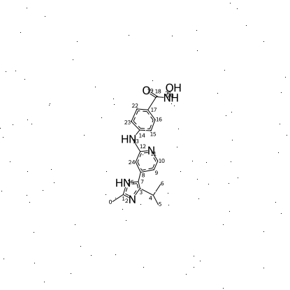 Cc1nc(C(C)C)c(-c2ccnc(Nc3ccc(C(=O)NO)cc3)c2)[nH]1